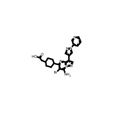 Nc1c(Br)c(C2CCC(CC(=O)O)CC2)nc2c(-c3cnn(-c4cccnc4)c3)cnn12